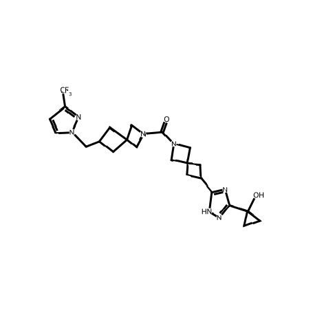 O=C(N1CC2(CC(Cn3ccc(C(F)(F)F)n3)C2)C1)N1CC2(CC(c3nc(C4(O)CC4)n[nH]3)C2)C1